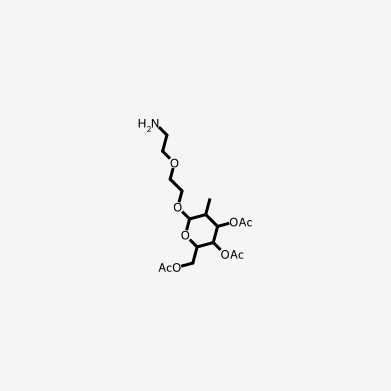 CC(=O)OCC1OC(OCCOCCN)C(C)C(OC(C)=O)C1OC(C)=O